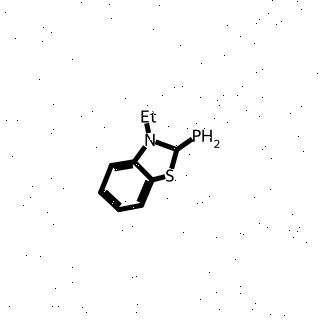 CCN1c2ccccc2SC1P